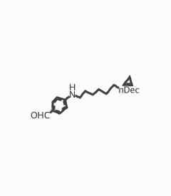 C1=CC1.CCCCCCCCCCCCCCCCNc1ccc(C=O)cc1